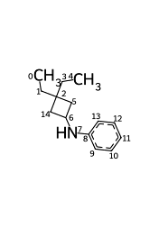 CCC1(CC)CC(Nc2ccccc2)C1